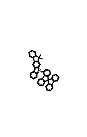 CC1(C)c2ccccc2-c2cc3c4ccccc4n(-c4cccc5c4-c4ccccc4C54c5ccccc5-c5ccccc54)c3cc21